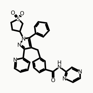 O=C(Nc1cnccn1)c1cccc(Cc2c(-c3ccccn3)nn(C3CCS(=O)(=O)C3)c2-c2ccccc2)c1